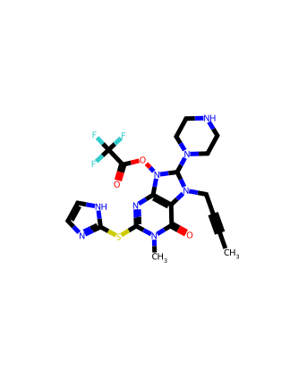 CC#CCN1c2c(nc(Sc3ncc[nH]3)n(C)c2=O)N(OC(=O)C(F)(F)F)C1N1CCNCC1